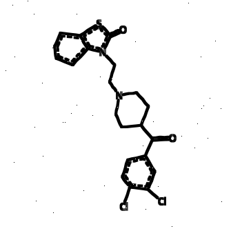 O=C(c1ccc(Cl)c(Cl)c1)C1CCN(CCn2c(=O)sc3ccccc32)CC1